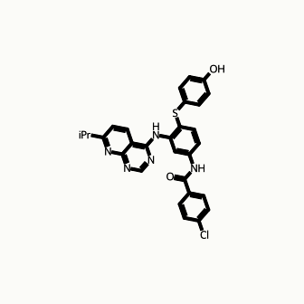 CC(C)c1ccc2c(Nc3cc(NC(=O)c4ccc(Cl)cc4)ccc3Sc3ccc(O)cc3)ncnc2n1